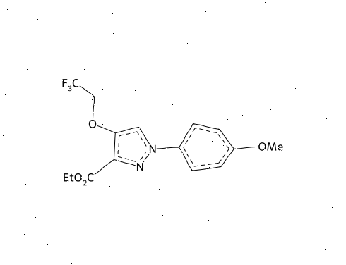 CCOC(=O)c1nn(-c2ccc(OC)cc2)cc1OCC(F)(F)F